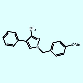 COc1ccc(Cn2cc(-c3ccccc3)c(N)n2)cc1